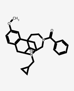 COc1ccc2c(c1)C13CCN(C(=O)c4ccccc4)CCC1(O)C(C2)N(CC1CC1)CC3